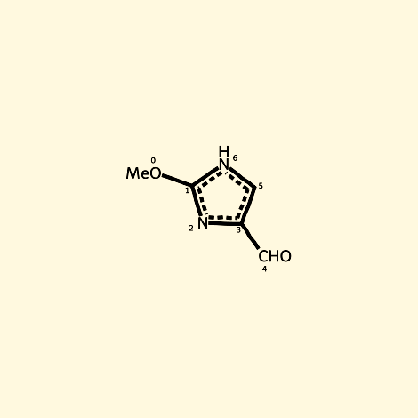 COc1nc(C=O)c[nH]1